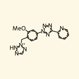 COc1cc(-n2nnc(-c3ccccn3)n2)ccc1C[n+]1ncn[nH]1